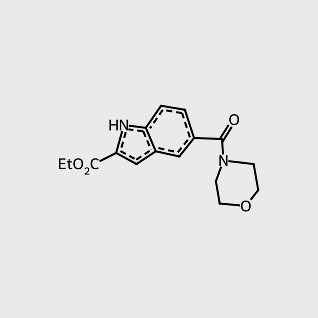 CCOC(=O)c1cc2cc(C(=O)N3CCOCC3)ccc2[nH]1